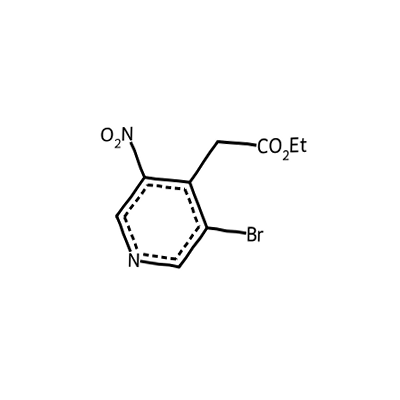 CCOC(=O)Cc1c(Br)cncc1[N+](=O)[O-]